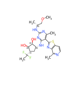 COC[C@@H](C)Nc1nc(C)c(-c2nc3c(C)nccc3s2)c(N[C@@H]2C[C@H](C(C)(F)F)[C@@H](O)[C@H]2O)n1